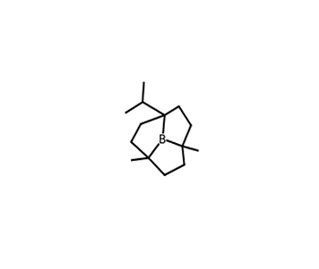 CC(C)C12CCC3(C)CCC(C)(CC1)B32